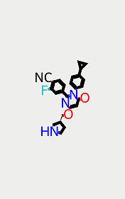 N#Cc1ccc(-c2nc(OC[C@@H]3CCNC3)cc(=O)n2-c2ccc(C3CC3)cc2)cc1F